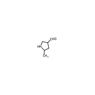 CC1CC(C=O)CN1